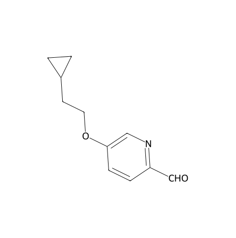 O=Cc1ccc(OCCC2CC2)cn1